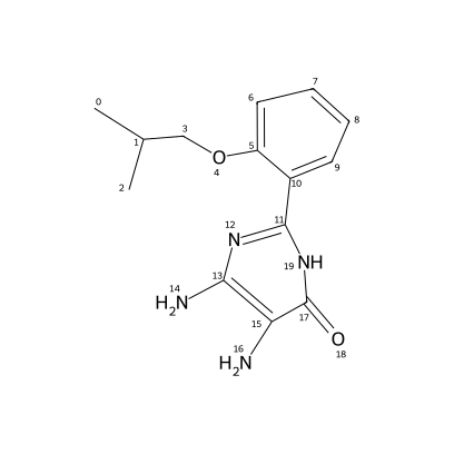 CC(C)COc1ccccc1-c1nc(N)c(N)c(=O)[nH]1